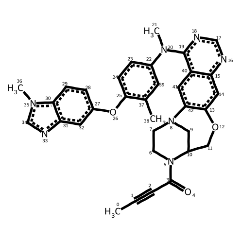 CC#CC(=O)N1CCN2CC1COc1cc3ncnc(N(C)c4ccc(Oc5ccc6c(c5)ncn6C)c(C)c4)c3cc12